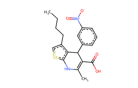 CCCCc1csc2c1C(c1cccc([N+](=O)[O-])c1)C(C(=O)O)=C(C)N2